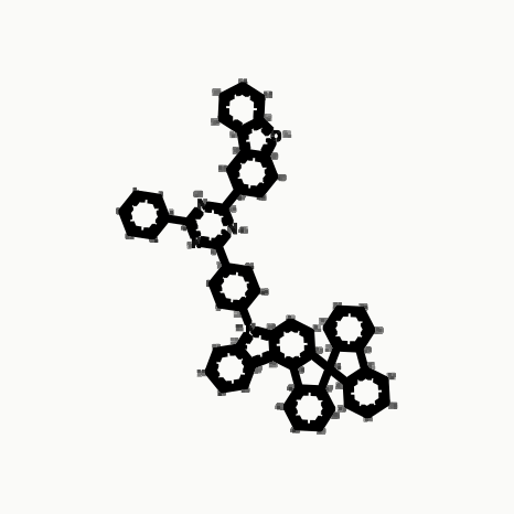 c1ccc(-c2nc(-c3ccc(-n4c5ccccc5c5c6c(ccc54)C4(c5ccccc5-c5ccccc54)c4ccccc4-6)cc3)nc(-c3ccc4oc5ccccc5c4c3)n2)cc1